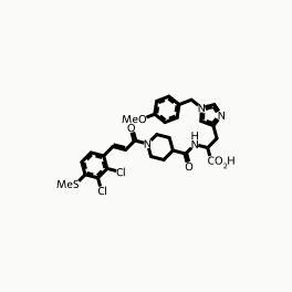 COc1ccc(Cn2cnc(CC(NC(=O)C3CCN(C(=O)C=Cc4ccc(SC)c(Cl)c4Cl)CC3)C(=O)O)c2)cc1